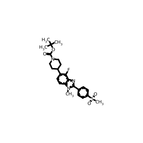 Cn1c(-c2ccc(S(C)(=O)=O)cc2)nc2c(F)c(C3CCN(C(=O)OC(C)(C)C)CC3)ccc21